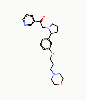 O=C(CN1CCCC1c1cccc(OCCCN2CCOCC2)c1)c1cccnc1